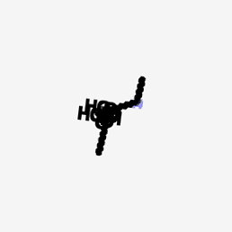 CCCCCCCC/C=C\CCCCCCCC(=O)O[C@@H](C(=O)COC(=O)CCCCCCCCCCC)[C@@H](O)[C@H](O)CO